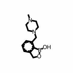 CN1CCN(Cc2cccc3c2B(O)OC3)CC1